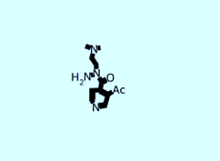 CC(=O)c1cnccc1C(=O)N(N)CCN(C)C